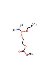 C=CCOP(OCCOC(=O)OC(C)(C)C)N(C(C)C)C(C)C